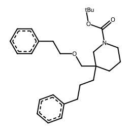 CC(C)(C)OC(=O)N1CCCC(CCCc2ccccc2)(COCCc2ccccc2)C1